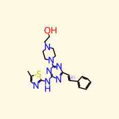 Cc1cnc(Nc2nc(/C=C/c3ccccc3)nc(N3CCN(CCO)CC3)n2)s1